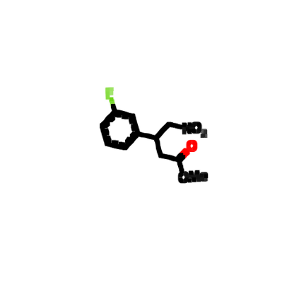 COC(=O)CC(C[N+](=O)[O-])c1cccc(F)c1